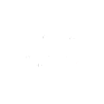 CC1=C(C(C)C)C(C)(CC(C)C)CC1=O